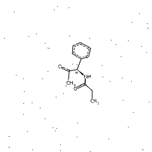 CCC(=O)N[C@@H](C(C)=O)c1ccccc1